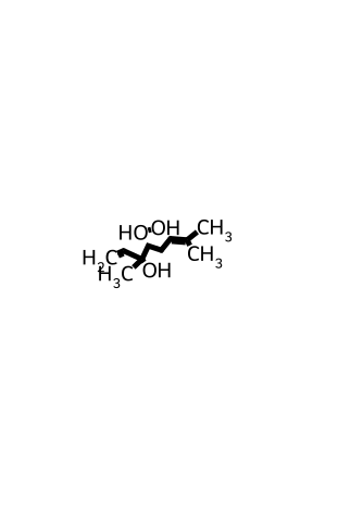 C=CC(C)(O)CCC=C(C)C.OO